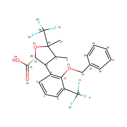 CC1C(c2cccc(C(F)(F)F)c2OCc2ccccc2)[C@H](C(=O)O)OC1(C)C(F)(F)F